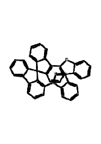 c1ccc2c(c1)-c1cccc(-n3nnc4ccccc43)c1C21c2ccccc2-c2c1ccc1c2oc2ccccc21